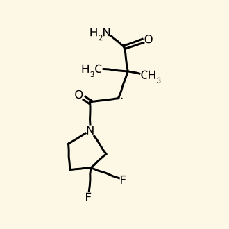 CC(C)([CH]C(=O)N1CCC(F)(F)C1)C(N)=O